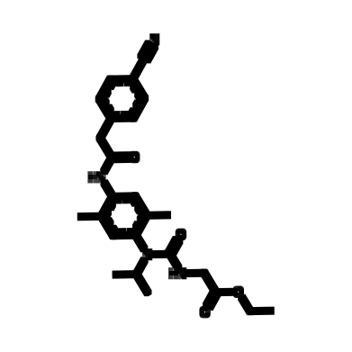 CCOC(=O)CNC(=O)N(c1cc(C)c(NC(=O)Cc2ccc(C#N)cc2)cc1C)C(C)C